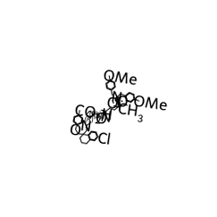 COc1ccc(CN(Cc2ccc(OC)cc2)S(=O)(=O)C(C)CCC2=NO[C@H]([C@@H]3CC[C@H]3CN3CC4(CCCc5cc(Cl)ccc54)COc4ccc(C(=O)O)cc43)C2)cc1